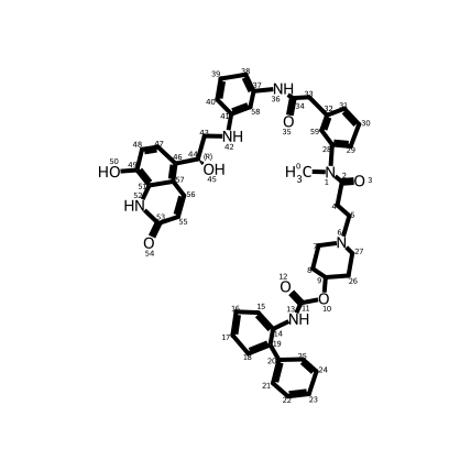 CN(C(=O)CCN1CCC(OC(=O)Nc2ccccc2-c2ccccc2)CC1)c1cccc(CC(=O)Nc2cccc(NC[C@H](O)c3ccc(O)c4[nH]c(=O)ccc34)c2)c1